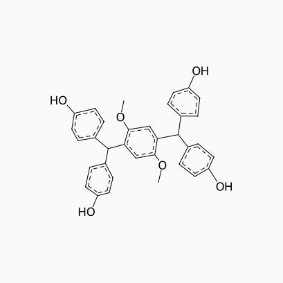 COc1cc(C(c2ccc(O)cc2)c2ccc(O)cc2)c(OC)cc1C(c1ccc(O)cc1)c1ccc(O)cc1